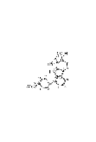 CCCC1(CC(=O)O)OCCc2c1[nH]c1c(-c3ccc(OC)cc3)cccc21